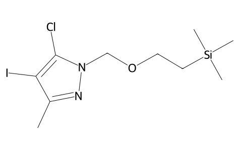 Cc1nn(COCC[Si](C)(C)C)c(Cl)c1I